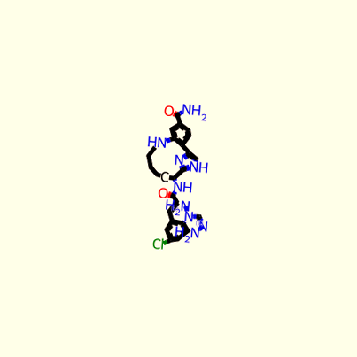 N/N=C\N(N)c1ccc(Cl)cc1/C=C/C(=O)NC1CCCCCNc2cc(C(N)=O)ccc2-c2c[nH]c1n2